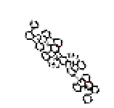 CC(C)(C)c1cccc2c3c(N(c4ccccc4-c4ccccc4)c4cccc5c4oc4c(-c6ccccc6)cccc45)ccc4c5cc6c(cc5n(c12)c43)c1ccc(N(c2ccccc2-c2ccccc2)c2cccc3c2oc2c(-c4ccccc4)cccc23)c2c3cccc(C(C)(C)C)c3n6c12